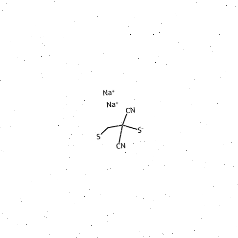 N#CC([S-])(C#N)C[S-].[Na+].[Na+]